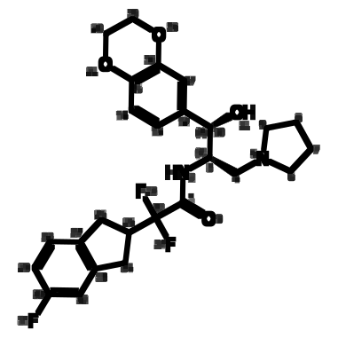 O=C(N[C@H](CN1CCCC1)[C@H](O)c1ccc2c(c1)OCCO2)C(F)(F)C1Cc2ccc(F)cc2C1